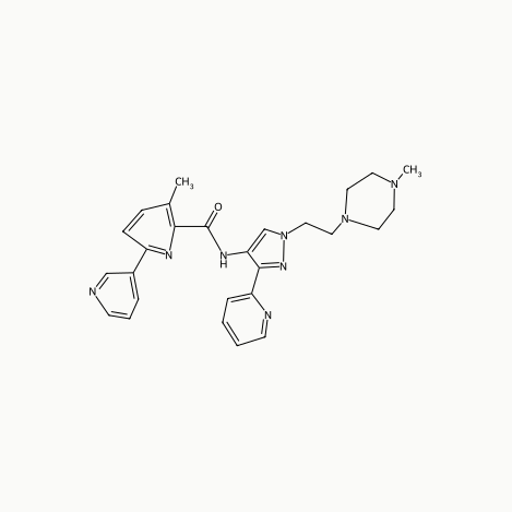 Cc1ccc(-c2cccnc2)nc1C(=O)Nc1cn(CCN2CCN(C)CC2)nc1-c1ccccn1